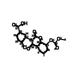 COC(=O)Oc1cccc2c(=O)n(-c3cc(C(=O)O)ccc3Cl)c(=O)oc12